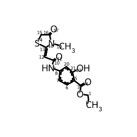 CCOC(=O)c1ccc(NC(=O)/C=C2/SCC(=O)N2C)cc1O